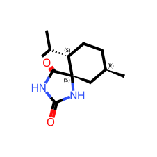 CC(C)[C@@H]1CC[C@@H](C)C[C@]12NC(=O)NC2=O